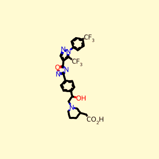 O=C(O)CC1CCCN(CC(O)c2ccc(-c3noc(-c4cnn(-c5ccc(C(F)(F)F)cc5)c4C(F)(F)F)n3)cc2)C1